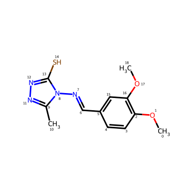 COc1ccc(C=Nn2c(C)nnc2S)cc1OC